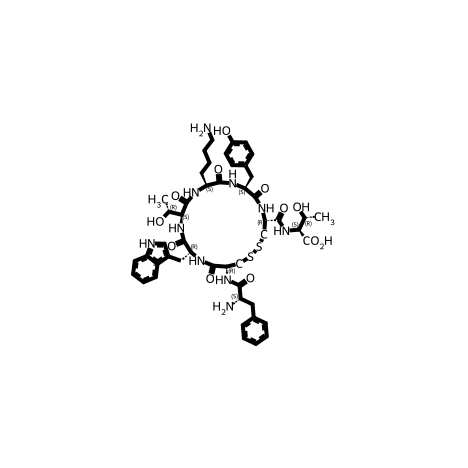 C[C@@H](O)[C@H](NC(=O)[C@@H]1CSSC[C@H](NC(=O)[C@@H](N)Cc2ccccc2)C(=O)N[C@H](Cc2c[nH]c3ccccc23)C(=O)N[C@@H]([C@@H](C)O)C(=O)N[C@@H](CCCCN)C(=O)N[C@@H](Cc2ccc(O)cc2)C(=O)N1)C(=O)O